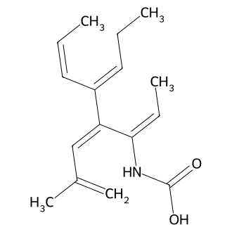 C=C(C)/C=C(C(/C=C\C)=C/CC)\C(=C/C)NC(=O)O